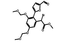 COCOc1cc(OCOC)c(-c2ccc(C=O)o2)c(C(Br)C(=O)OC)c1